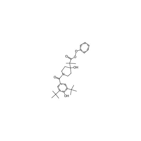 CC(C)(C)c1cc(C(=O)N2CCC(O)(C(C)(C)C(=O)OOc3ccccc3)CC2)cc(C(C)(C)C)c1O